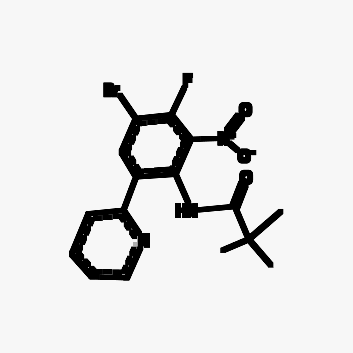 CC(C)(C)C(=O)Nc1c(-c2ccccn2)cc(Br)c(F)c1[N+](=O)[O-]